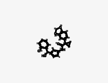 O=C(Nc1ncc([C@@H](O)c2ccccc2Cl)s1)C1(c2ccc3c(c2)OCO3)CC1